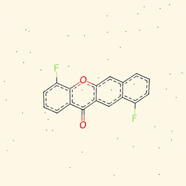 O=c1c2cc3c(F)cccc3cc2oc2c(F)cccc12